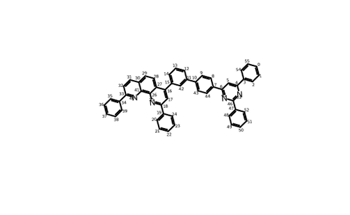 c1ccc(-c2cc(-c3ccc(-c4cccc(-c5cc(-c6ccccc6)nc6c5ccc5ccc(-c7ccccc7)nc56)c4)cc3)nc(-c3ccccc3)n2)cc1